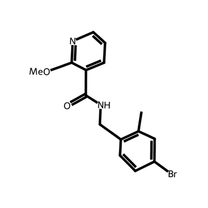 COc1ncccc1C(=O)NCc1ccc(Br)cc1C